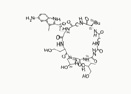 CC[C@H](C)[C@@H]1NC(=O)CNC(=O)NC(=O)[C@H](C(C)C(O)CO)NC(=O)[C@@H]2C[C@@H](O)CN2C(=O)C(CCO)NC(=O)[C@H](C[S+]([O-])c2[nH]c3ccc(N)cc3c2C)NC(=O)CNC1=O